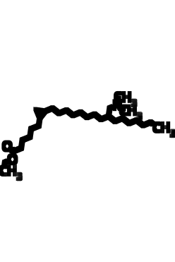 CCCCCCCC(CCCCCCCCC1CC1CCCCCC(=O)OCC)CN(C)C